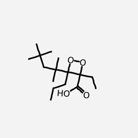 CCCC1(C(C)(C)CC(C)(C)C)OOC1(CC)C(=O)O